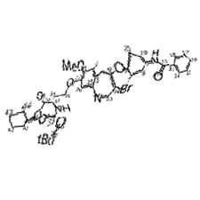 COc1cc2c(Oc3ccc(NC(=O)c4ccccc4)cc3)c(Br)cnc2cc1OCC[C@H](NC(=O)OC(C)(C)C)C(=O)OC1CCCC1